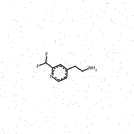 NCCc1ccnc(C(F)F)c1